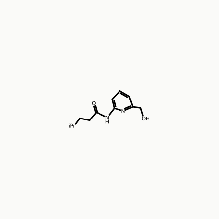 CC(C)CCC(=O)Nc1cccc(CO)n1